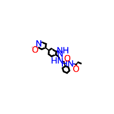 C=CC(=O)Nc1ccccc1C(=O)Nc1n[nH]c2cc(-c3ccnc(OC)c3)ccc12